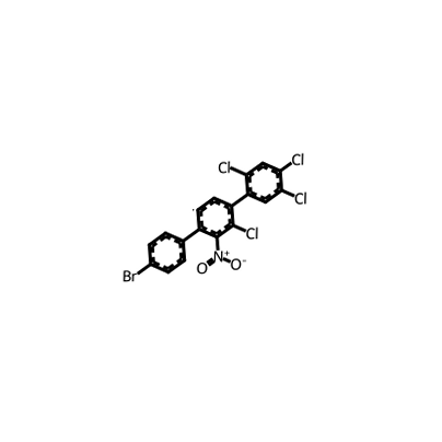 O=[N+]([O-])c1c(-c2ccc(Br)cc2)[c]cc(-c2cc(Cl)c(Cl)cc2Cl)c1Cl